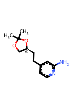 CC1(C)OC[C@H](CCc2ccnc(N)c2)O1